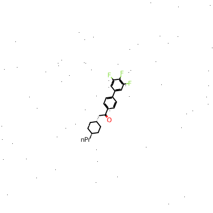 CCC[C@H]1CC[C@H](CC(=O)c2ccc(-c3cc(F)c(F)c(F)c3)cc2)CC1